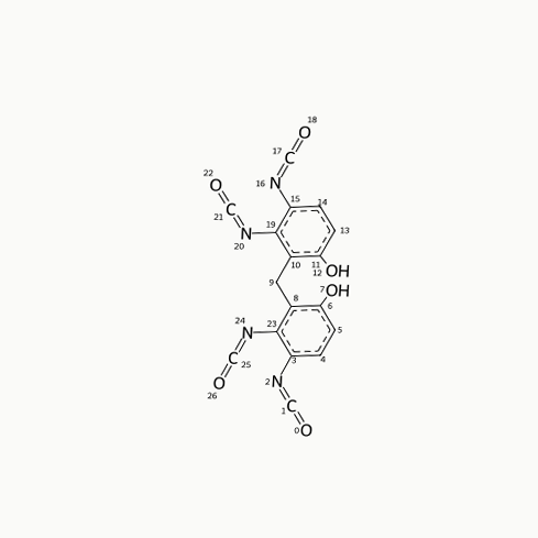 O=C=Nc1ccc(O)c(Cc2c(O)ccc(N=C=O)c2N=C=O)c1N=C=O